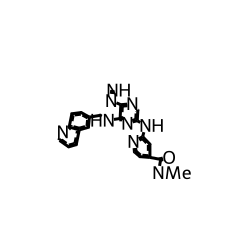 CNC(=O)c1ccnc(Nc2cnc(N=N)c(NCc3ccc4ncccc4c3)n2)c1